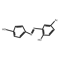 CC(=O)c1ccc(O)c(/N=N/c2ccc(O)cc2)c1